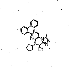 CCC1c2nnc(C)n2-c2cnc(-c3ccccc3-c3ccccc3)nc2N1C1CCCC1